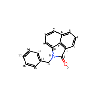 O=C1c2cccc3cccc(c23)N1Cc1ccccc1